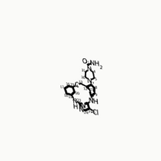 NC(=O)N1CCN(c2ccc3cc2CCc2cccc(c2)Nc2ncc(Cl)c(n2)N3)CC1